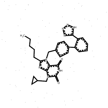 CCCCCc1nc2c(c(=O)[nH]c(=O)n2CC2CC2)n1Cc1ccc(-c2ccccc2-c2nnn[nH]2)cc1